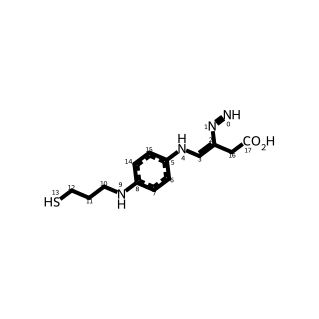 N=N/C(=C\Nc1ccc(NCCCS)cc1)CC(=O)O